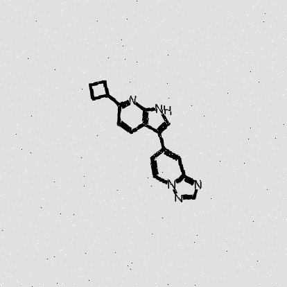 c1nc2cc(-c3c[nH]c4nc(C5CCC5)ccc34)ccn2n1